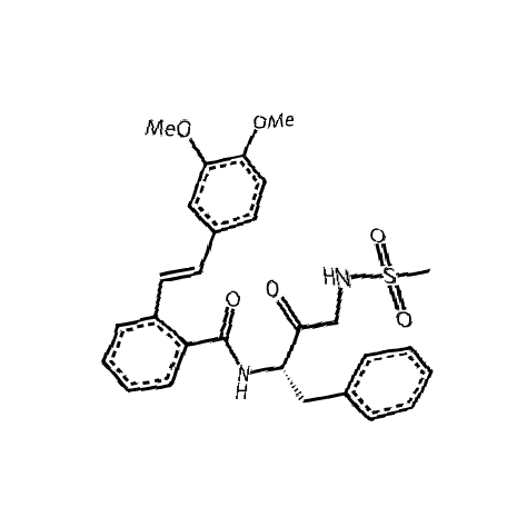 COc1ccc(C=Cc2ccccc2C(=O)N[C@@H](Cc2ccccc2)C(=O)CNS(C)(=O)=O)cc1OC